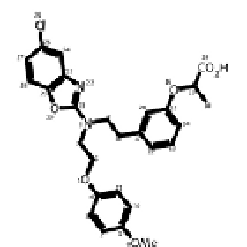 COc1ccc(OCCN(CCc2cccc(OC(C)C(=O)O)c2)c2nc3cc(Cl)ccc3o2)cc1